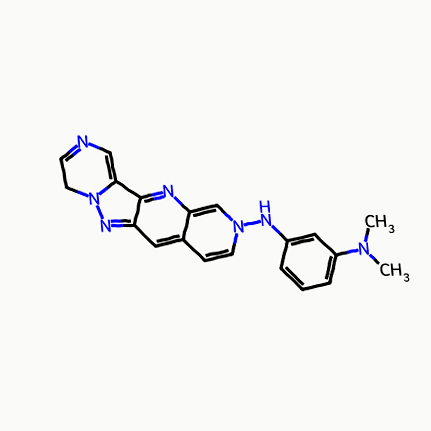 CN(C)c1cccc(NN2C=Cc3cc4nn5c(c4nc3=C2)=CN=CC5)c1